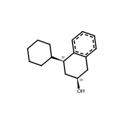 O[C@@H]1Cc2ccccc2[C@H](C2CCCCC2)C1